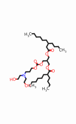 CCCCCCC(CCCC)CC(=O)OCC(COC(=O)OCCCN(CCO)CCO)COC(=O)C(CCCC)CCCCCC